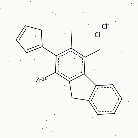 Cc1c(C)c2c([c]([Zr+2])c1C1=CC=CC1)Cc1ccccc1-2.[Cl-].[Cl-]